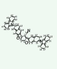 N#Cc1c2c(cc3oc4cc5cc(-n6c7ccccc7c7ccccc76)ccc5cc4c13)oc1cc3cc(-n4c5ccccc5c5ccccc54)ccc3cc12